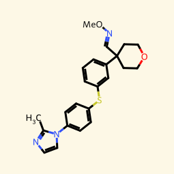 CON=CC1(c2cccc(Sc3ccc(-n4ccnc4C)cc3)c2)CCOCC1